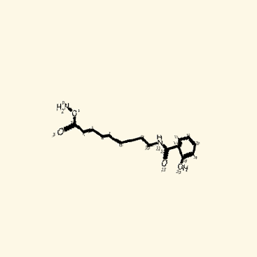 NOC(=O)CCCCCCCNC(=O)c1ccccc1O